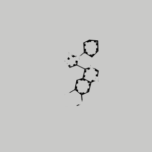 COc1cc2ncnc(-c3cnnn3-c3ccccc3)c2cc1OC